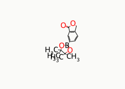 CC1(C)OB(c2ccc3c(c2)C(=O)OC3)OC1(C)C